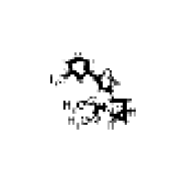 C/N=C(\SC)N1[C@@H](c2cc(-c3cccc(C)c3)on2)C[C@H]2C[C@H]21